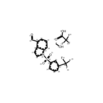 CO.O=C(O)C(F)(F)F.O=Cc1cccc2c1ccn2S(=O)(=O)c1cccc(C(F)(F)F)c1